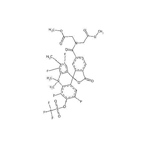 COC(=O)CN(CC(=O)OC)C(=O)c1ccc2c(c1)C1(OC2=O)c2cc(F)c(C)c(F)c2[Si](C)(C)c2c1cc(F)c(OS(=O)(=O)C(F)(F)F)c2F